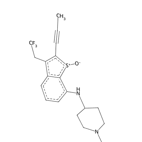 CC#Cc1c(CC(F)(F)F)c2cccc(NC3CCN(C)CC3)c2[s+]1[O-]